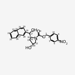 O=C(OCc1ccc([N+](=O)[O-])cc1)N1C[C@H](O)C[C@H]1C(O)c1ccc2ccccc2c1